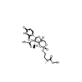 C#C[C@@]1(OC(=O)CCC)[C@@H]2O[P@@](=O)(OCC[C@@H](C)C(=O)OC(C)C)OC[C@H]2O[C@H]1n1ccc(=O)[nH]c1=O